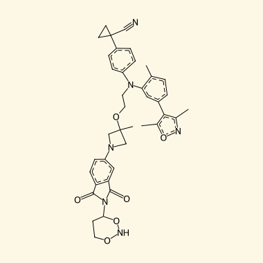 Cc1ccc(-c2c(C)noc2C)cc1N(CCOC1(C)CN(c2ccc3c(c2)C(=O)N(C2CCONO2)C3=O)C1)c1ccc(C2(C#N)CC2)cc1